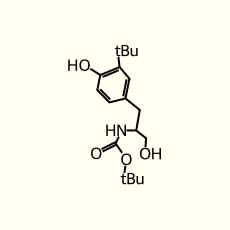 CC(C)(C)OC(=O)NC(CO)Cc1ccc(O)c(C(C)(C)C)c1